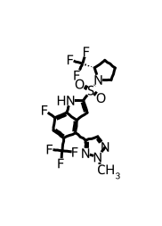 Cn1ncc(-c2c(C(F)(F)F)cc(F)c3[nH]c(S(=O)(=O)N4CCC[C@H]4C(F)(F)F)cc23)n1